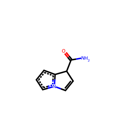 NC(=O)C1C=Cn2cccc21